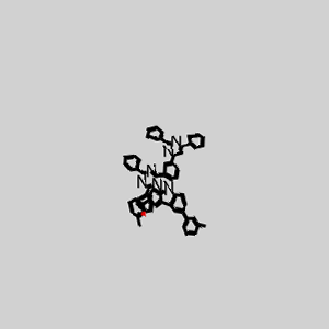 Cc1cccc(-c2ccc3c(c2)c2cc(-c4cccc(C)c4)ccc2n3-c2ccc(-c3cc(-c4ccccc4)nc(-c4ccccc4)n3)cc2-c2nc(-c3ccccc3)nc(-c3ccccc3)n2)c1